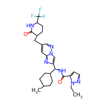 CCn1nccc1C(=O)N[C@H](c1cn2ncc(CC3CCC(C(F)(F)F)NC3=O)cc2n1)C1CCC(C)CC1